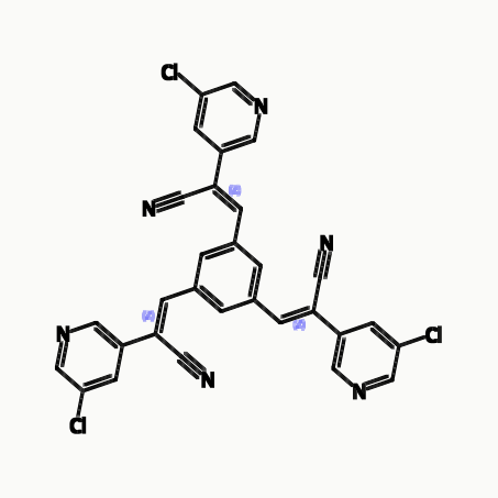 N#C/C(=C\c1cc(/C=C(\C#N)c2cncc(Cl)c2)cc(/C=C(\C#N)c2cncc(Cl)c2)c1)c1cncc(Cl)c1